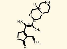 C=CC1=C(/C(C)=C(\C)[C@@H]2CN3CCNC[C@H]3CO2)COC1=O